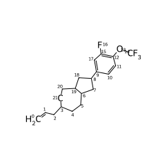 C=CCC1CCC2CC(c3ccc(OC(F)(F)F)c(F)c3)CC2CC1